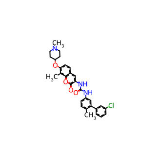 Cc1ccc(NC(=O)Nc2cc3ccc(OC4CCN(C)CC4)c(C)c3oc2=O)cc1-c1cccc(Cl)c1